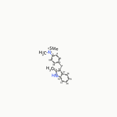 CSN(C)c1ccc(Cc2c(C)[nH]c3ccccc23)cc1